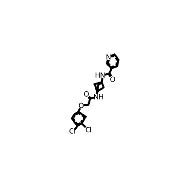 O=C(COc1ccc(Cl)c(Cl)c1)NC12CC(NC(=O)c3cccnc3)(C1)C2